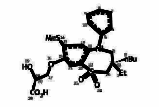 CCCC[C@@]1(CC)CN(c2ccccc2)c2cc(SC)c(OC[C@H](O)C(=O)O)cc2S(=O)(=O)C1